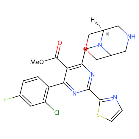 COC(=O)c1c(CN2C3CNC[C@@H]2COC3)nc(-c2nccs2)nc1-c1ccc(F)cc1Cl